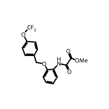 COC(=O)C(=O)Nc1ccccc1OCc1ccc(OC(F)(F)F)cc1